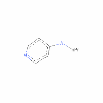 CCC[N]c1ccncc1